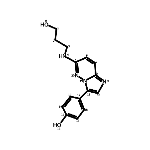 OCCCNc1ccc2ncc(-c3ccc(O)cc3)n2n1